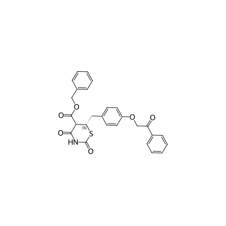 O=C1NC(=O)C(C(=O)OCc2ccccc2)[C@H](Cc2ccc(OCC(=O)c3ccccc3)cc2)S1